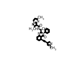 Cc1ccn2nc(C)c(C(=O)N[C@H](C)c3nc4cccc(C#Cc5cnn(C)c5)c4c(=O)n3-c3ccccc3)c2n1